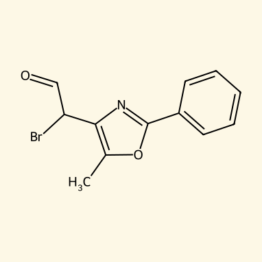 Cc1oc(-c2ccccc2)nc1C(Br)C=O